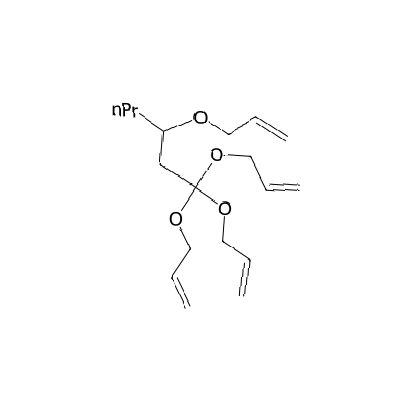 C=CCOC(CCC)CC(OCC=C)(OCC=C)OCC=C